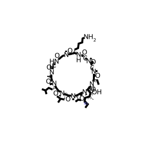 C/C=C/C[C@@H](C)[C@@H](O)[C@H]1C(=O)N[C@@H](CC)C(=O)N(C)CC(=O)N(C)CC(=O)N[C@@H](CCCCCN)C(=O)N(C)CC(=O)NCC(=O)N[C@H](C)C(=O)N(C)[C@@H](CCC(C)C)C(=O)N(C)[C@@H](CC(C)C)C(=O)N(C)[C@@H](C(C)C)C(=O)N1C